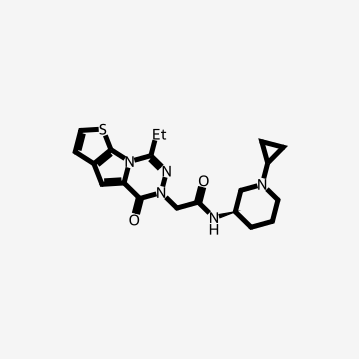 CCc1nn(CC(=O)N[C@@H]2CCCN(C3CC3)C2)c(=O)c2cc3ccsc3n12